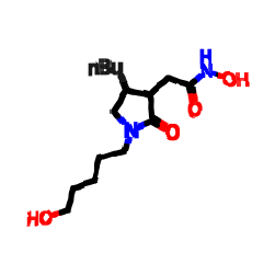 CCCCC1CN(CCCCCO)C(=O)C1CC(=O)NO